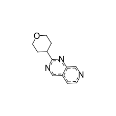 c1cc2cnc(C3CCOCC3)nc2cn1